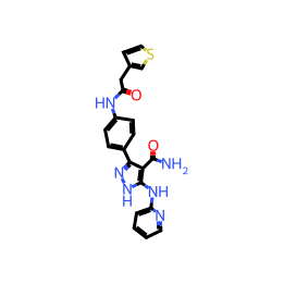 NC(=O)c1c(-c2ccc(NC(=O)Cc3ccsc3)cc2)n[nH]c1Nc1ccccn1